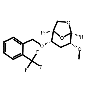 CO[C@@H]1C[C@H](OCc2ccccc2C(F)(F)F)[C@H]2CO[C@@H]1O2